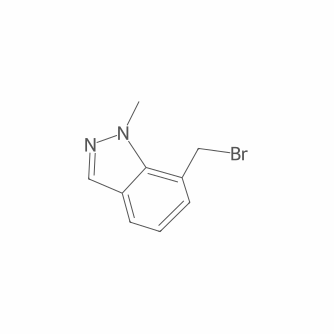 Cn1ncc2cccc(CBr)c21